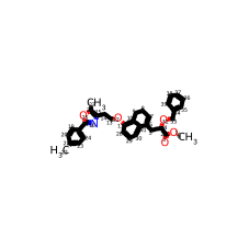 COC(=O)C(CC1=CCCc2c(OCCc3nc(-c4ccc(C)cc4)oc3C)cccc21)OCc1ccccc1